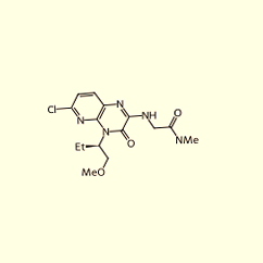 CC[C@H](COC)n1c(=O)c(NCC(=O)NC)nc2ccc(Cl)nc21